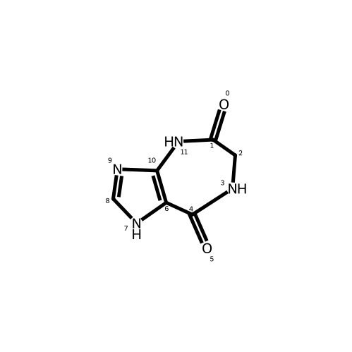 O=C1CNC(=O)c2[nH]cnc2N1